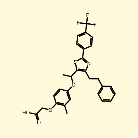 Cc1cc(OC(C)c2sc(-c3ccc(C(F)(F)F)cc3)nc2CCc2ccccc2)ccc1OCC(=O)O